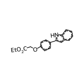 CCOC(=O)COc1ccc(-c2cc3ccccc3[nH]2)cc1